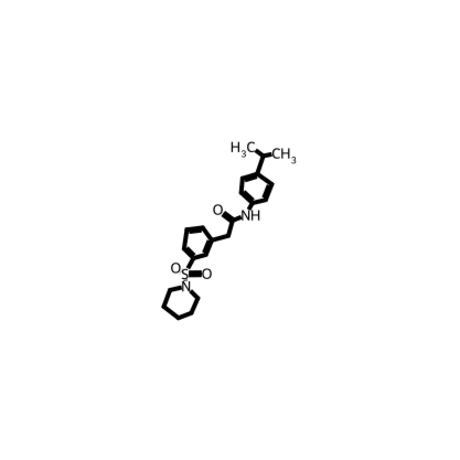 CC(C)c1ccc(NC(=O)Cc2cccc(S(=O)(=O)N3CCCCC3)c2)cc1